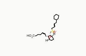 O=C(O)CCC/C=C\C[C@@H]1[C@H](C[S+]([O-])CC=CCC2CCCCC2)[C@@H]2CC[C@H]1O2